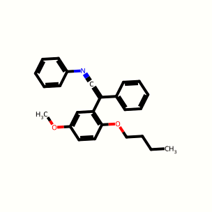 CCCCOc1ccc(OC)cc1C(=C=Nc1ccccc1)c1ccccc1